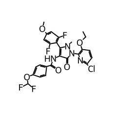 CCOc1ccc(Cl)nc1-n1c(=O)c(NC(=O)c2ccc(OC(F)F)cc2)c(-c2c(F)cc(OC)cc2F)n1C